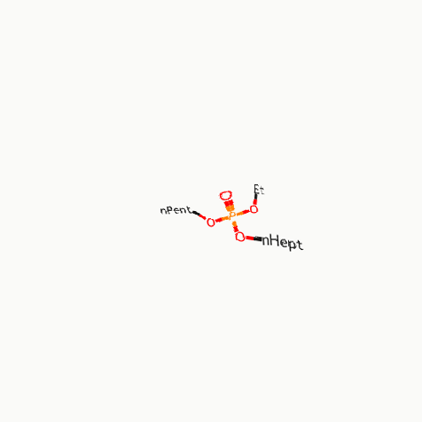 CCCCCCCOP(=O)(OCC)OCCCCC